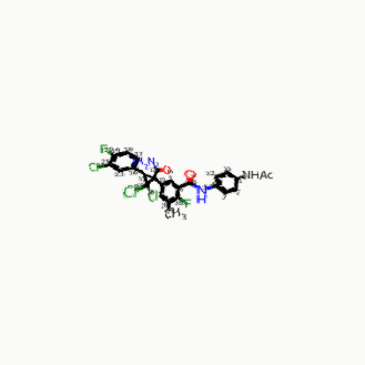 CC(=O)Nc1ccc(NC(=O)c2cc(C3(C(N)=O)C(c4ccc(F)c(Cl)c4)C3(Cl)Cl)cc(C)c2F)cc1